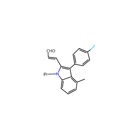 Cc1cccc2c1c(-c1ccc(F)cc1)c(/C=C/C=O)n2C(C)C